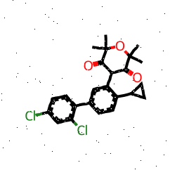 CC1(C)OC(C)(C)C(=O)C(c2cc(-c3ccc(Cl)cc3Cl)ccc2C2CC2)C1=O